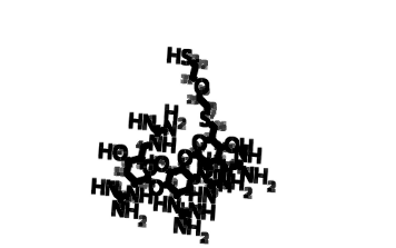 N=C(N)NCC1OC(OC2C(NC(=N)N)CC(NC(=N)N)C(OC3OC(CSCCOCCS)C(O)C(NC(=N)N)C3O)C2O)C(NC(=N)N)CC1O